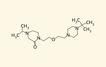 CC(C)N1CCN(CCOCCN2CCN(C(C)(C)C)CC2)C(=O)C1